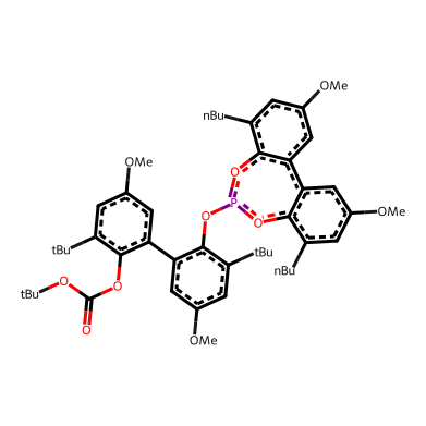 CCCCc1cc(OC)cc2c1op(Oc1c(-c3cc(OC)cc(C(C)(C)C)c3OC(=O)OC(C)(C)C)cc(OC)cc1C(C)(C)C)oc1c(CCCC)cc(OC)cc12